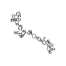 CCC1(NC(=O)c2ncccc2Cl)CCN(c2ccc(-c3nc(-c4cnn([C@H]5CC[C@@H](N6CCN(c7ccc8c(N9CCC(=O)NC9=O)nn(C)c8c7F)CC6)CC5)c4)cn4ncc(C#N)c34)cn2)CC1